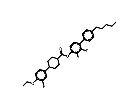 CCCCCc1ccc(-c2ccc(OC(=O)C3CCC(c4ccc(OCC)c(F)c4)CC3)c(F)c2F)cc1